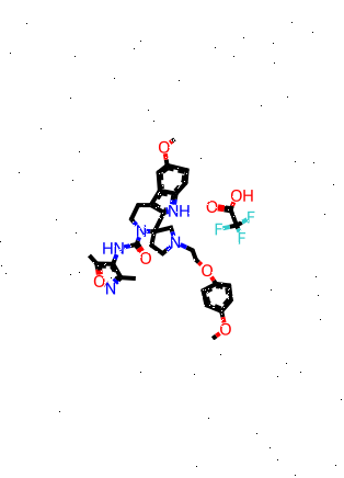 COc1ccc(OCCN2CCC3(C2)c2[nH]c4ccc(OC)cc4c2CCN3C(=O)Nc2c(C)noc2C)cc1.O=C(O)C(F)(F)F